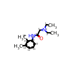 CCN(CC)CC(=O)Nc1cccc(C)c1C